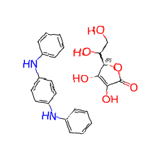 O=C1O[C@H](C(O)CO)C(O)=C1O.c1ccc(Nc2ccc(Nc3ccccc3)cc2)cc1